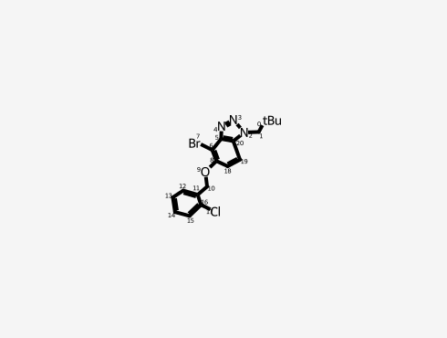 CC(C)(C)Cn1nnc2c(Br)c(OCc3ccccc3Cl)ccc21